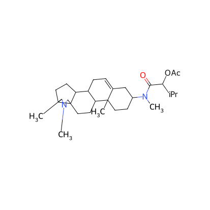 CC(=O)OC(C(=O)N(C)C1CCC2(C)C(=CCC3C2CCC24CN(C)C(C)C2CCC34)C1)C(C)C